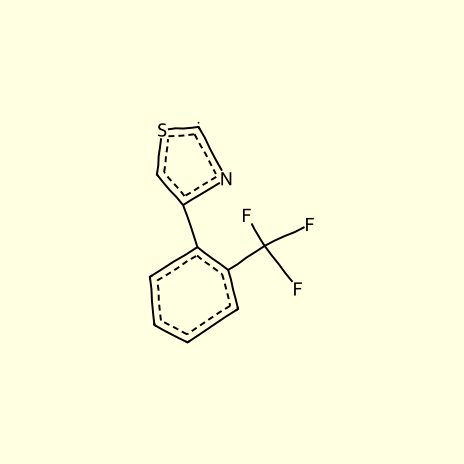 FC(F)(F)c1ccccc1-c1cs[c]n1